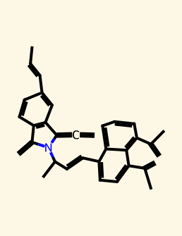 C=C=c1c2cc(/C=C/C)ccc2c(=C)n1C(C)/C=C/c1ccc(C(=C)C)c2c(C(=C)C)cccc12